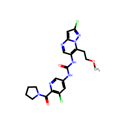 COCCc1c(NC(=O)Nc2cnc(C(=O)N3CCCC3)c(Cl)c2)cnc2cc(Cl)nn12